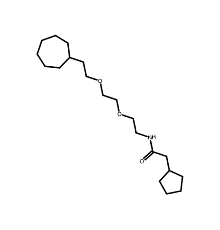 O=C(CC1CCCC1)NCCOCCOCCC1CCCCCC1